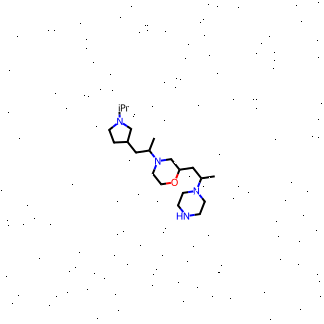 CC(C)N1CCC(CC(C)N2CCOC(CC(C)N3CCNCC3)C2)C1